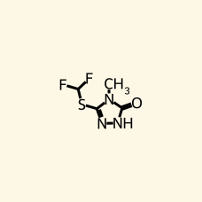 Cn1c(SC(F)F)n[nH]c1=O